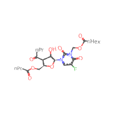 CCCCCCC(=O)OCn1c(=O)c(F)cn([C@H]2O[C@@H](COC(=O)CCC)C(C(=O)CCC)C2O)c1=O